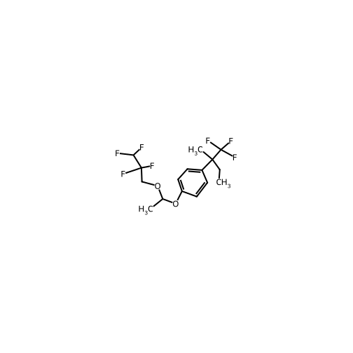 CCC(C)(c1ccc(OC(C)OCC(F)(F)C(F)F)cc1)C(F)(F)F